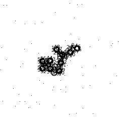 CC1(C)c2ccccc2-c2ccc(-c3cc(-c4ccccc4)nc(-c4ccc(-c5cccc6c5Oc5c(ccc7c5-c5ccccc5C7(c5ccccc5)c5ccccc5)O6)cc4)n3)cc21